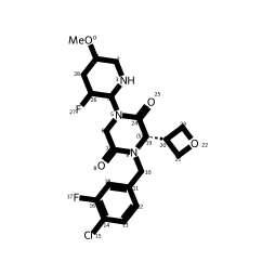 COC1CNC(N2CC(=O)N(Cc3ccc(Cl)c(F)c3)[C@@H](C3COC3)C2=O)C(F)C1